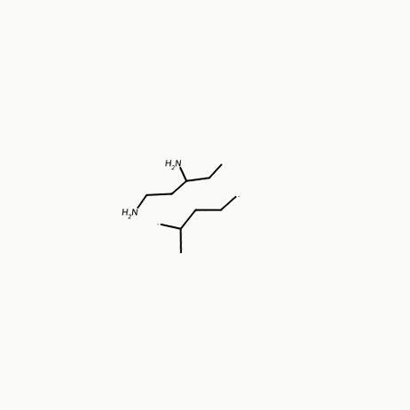 CCC(N)CCN.[CH2]CCC([CH2])C